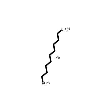 CCCCCCCCCCCCCCCCCC(=O)O.[Yb]